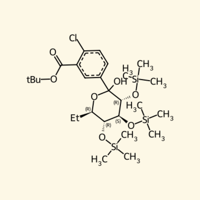 CC[C@H]1OC(O)(c2ccc(Cl)c(C(=O)OC(C)(C)C)c2)[C@H](O[Si](C)(C)C)[C@@H](O[Si](C)(C)C)[C@@H]1O[Si](C)(C)C